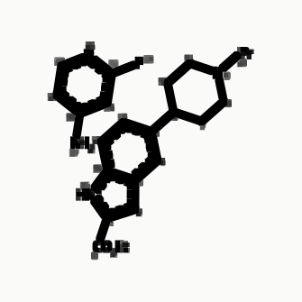 CCOC(=O)c1cc2cc(C3CCN(C(C)C)CC3)ccc2[nH]1.Nc1ccnc(F)c1